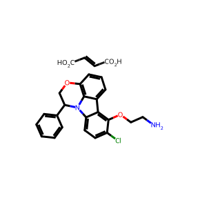 NCCOc1c(Cl)ccc2c1c1cccc3c1n2C(c1ccccc1)CO3.O=C(O)C=CC(=O)O